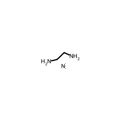 NCCN.[N]